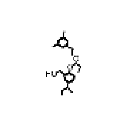 CCC(OCCc1cc(C)cc(C)c1)Oc1ccc(C(C)CC)cc1CO